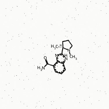 CN1CCC[C@]1(C)c1nc2c(C(N)=O)cccc2[nH]1